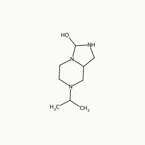 CC(C)N1CCN2C(CNC2O)C1